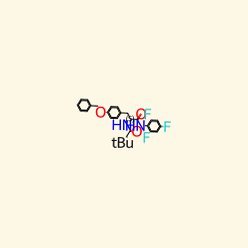 CC(C)(C)CC(=O)N[C@@H](Cc1ccc(OCc2ccccc2)cc1)C(=O)Nc1c(F)cc(F)cc1F